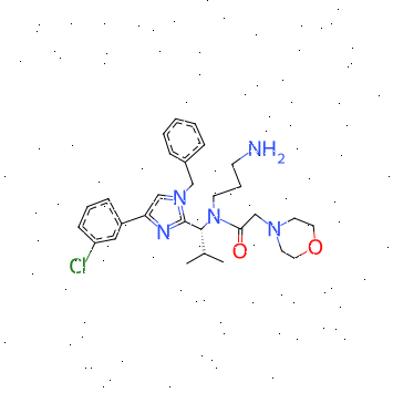 CC(C)[C@H](c1nc(-c2cccc(Cl)c2)cn1Cc1ccccc1)N(CCCN)C(=O)CN1CCOCC1